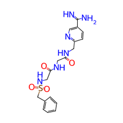 N=C(N)c1ccc(CNC(=O)CNC(=O)CNS(=O)(=O)Cc2ccccc2)nc1